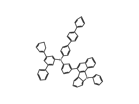 C1=CCCC(c2cc(-c3ccccc3)cc(N(c3ccc(-c4ccc(-c5ccccc5)cc4)cc3)c3cccc(-c4cc5ccccc5c5c4c4ccccc4n5-c4ccccc4)c3)c2)=C1